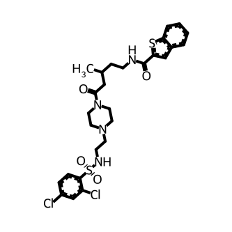 CC(CCNC(=O)c1cc2ccccc2s1)CC(=O)N1CCN(CCNS(=O)(=O)c2ccc(Cl)cc2Cl)CC1